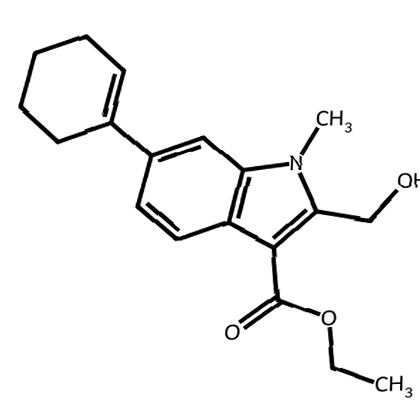 CCOC(=O)c1c(CO)n(C)c2cc(C3=CCCCC3)ccc12